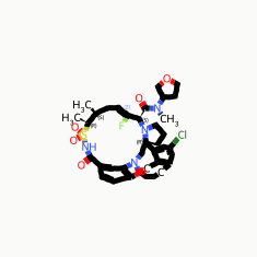 C[C@@H]1[C@@H](C)C/C=C(\F)[C@H](C(=O)N(C)C2CCOC2)N2CCC[C@@]23CN2CCCCc4cc(Cl)cc3c4COc3ccc(cc32)C(=O)NS1(=O)=O